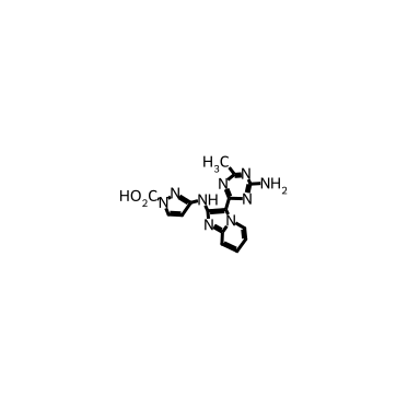 Cc1nc(N)nc(-c2c(Nc3ccn(C(=O)O)n3)nc3ccccn23)n1